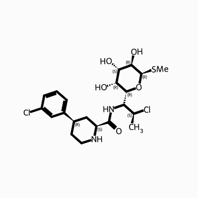 CS[C@H]1O[C@H](C(NC(=O)[C@@H]2C[C@H](c3cccc(Cl)c3)CCN2)[C@H](C)Cl)[C@H](O)[C@H](O)[C@H]1O